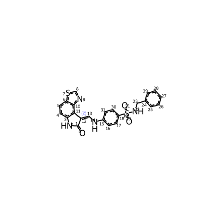 O=C1Nc2ccc3scnc3c2/C1=C/Nc1ccc(S(=O)(=O)NCc2ccccc2)cc1